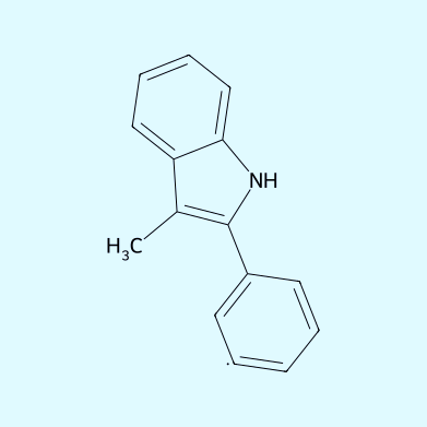 Cc1c(-c2c[c]ccc2)[nH]c2ccccc12